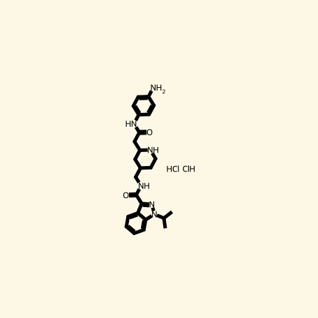 CC(C)n1nc(C(=O)NCC2CCNC(CC(=O)Nc3ccc(N)cc3)C2)c2ccccc21.Cl.Cl